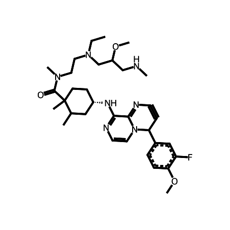 CCN(CCN(C)C(=O)C1(C)CC[C@H](NC2=NC=CN3C2=NC#CC3c2ccc(OC)c(F)c2)CC1C)CC(CNC)OC